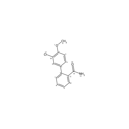 COc1ccc(-c2ccccc2C(N)=O)cc1Cl